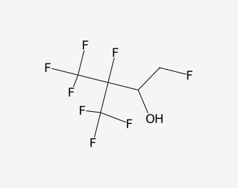 OC(CF)C(F)(C(F)(F)F)C(F)(F)F